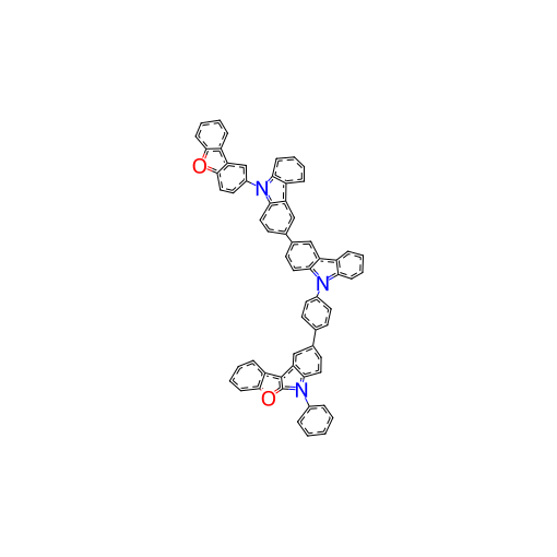 c1ccc(-n2c3ccc(-c4ccc(-n5c6ccccc6c6cc(-c7ccc8c(c7)c7ccccc7n8-c7ccc8oc9ccccc9c8c7)ccc65)cc4)cc3c3c4ccccc4oc32)cc1